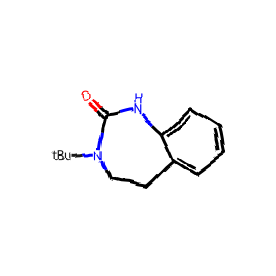 CC(C)(C)N1CCc2ccccc2NC1=O